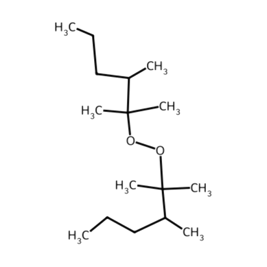 CCCC(C)C(C)(C)OOC(C)(C)C(C)CCC